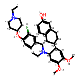 CCN1CCC(Oc2ccc(CN(CC)C3C=C(OC)C(OC)=CC3[C@@H]3CCc4cc(O)ccc4C3)cc2F)CC1